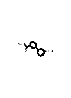 COC(=O)c1cccc(-c2cccc(C=O)c2)c1